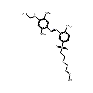 COc1cc(NCS(=O)(=O)O)c(OC)cc1/N=N/c1cc(S(=O)(=O)CCOSOOO)ccc1C(=O)O